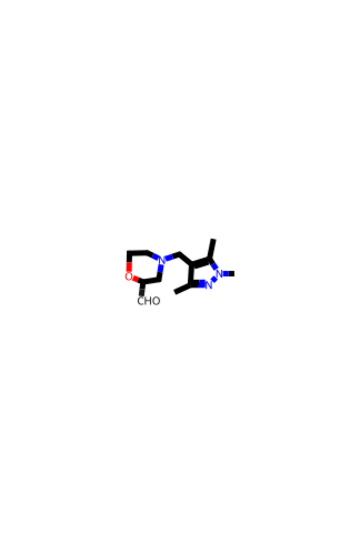 Cc1nn(C)c(C)c1CN1CCOC(C=O)C1